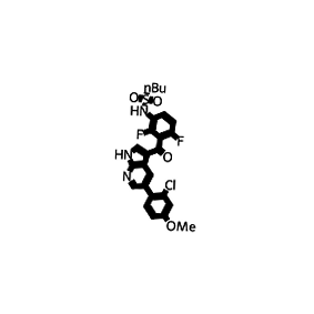 CCCCS(=O)(=O)Nc1ccc(F)c(C(=O)c2c[nH]c3ncc(-c4ccc(OC)cc4Cl)cc23)c1F